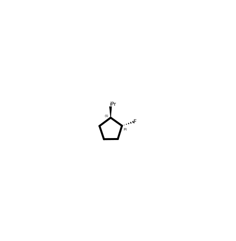 CC(C)[C@@H]1CCC[C@H]1F